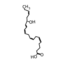 CC/C=C\C[C@@H](O)/C=C/C=C\C/C=C\C/C=C\CCCC(=O)O